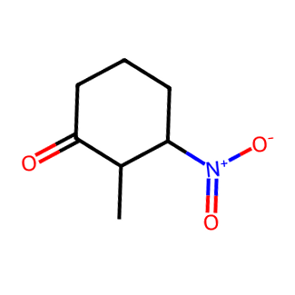 CC1C(=O)CCCC1[N+](=O)[O-]